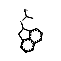 CC(OC1Cc2cccc3cccc1c23)C(C)(C)C